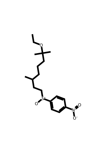 CCOC(C)(C)CCCC(C)CC[S+]([O-])c1ccc([N+](=O)[O-])cc1